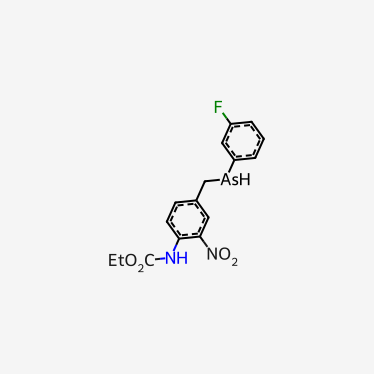 CCOC(=O)Nc1ccc(C[AsH]c2cccc(F)c2)cc1[N+](=O)[O-]